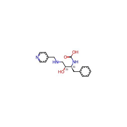 O=C(O)N[C@@H](Cc1ccccc1)[C@@H](O)CNCc1ccncc1